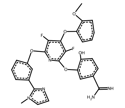 COc1ccccc1Oc1c(F)c(Oc2cccc(-c3nccn3C)c2)nc(Oc2cc(C(=N)N)ccc2O)c1F